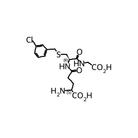 N[C@@H](CCC(=O)N[C@@H](CSCc1cccc(Cl)c1)C(=O)NCC(=O)O)C(=O)O